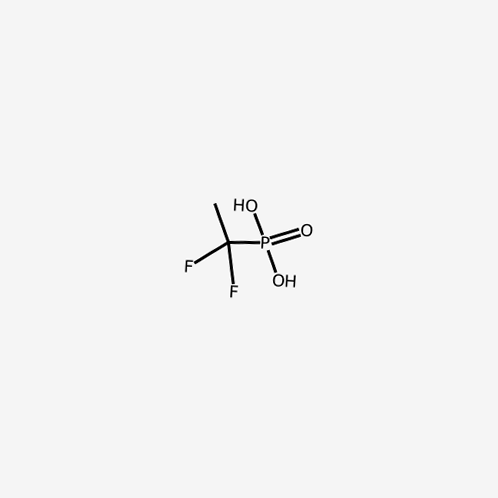 CC(F)(F)P(=O)(O)O